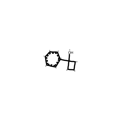 OC1(c2ccccc2)C[CH]C1